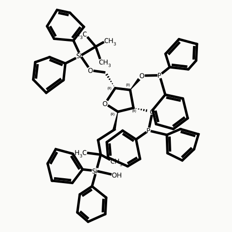 CC(C)(CC[C@H]1O[C@H](CO[Si](c2ccccc2)(c2ccccc2)C(C)(C)C)[C@@H](OP(c2ccccc2)c2ccccc2)[C@@H]1OP(c1ccccc1)c1ccccc1)[Si](O)(c1ccccc1)c1ccccc1